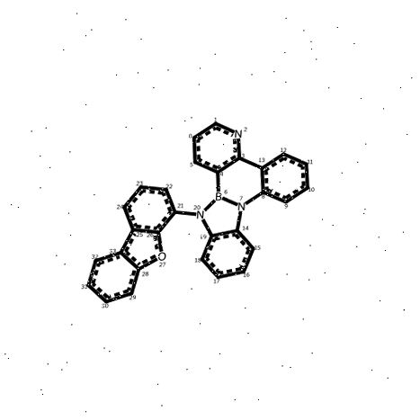 c1cnc2c(c1)B1N(c3ccccc3-2)c2ccccc2N1c1cccc2c1oc1ccccc12